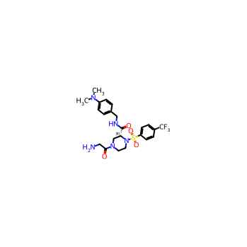 CN(C)c1ccc(CNC(=O)[C@H]2CN(C(=O)CN)CCN2S(=O)(=O)c2ccc(C(F)(F)F)cc2)cc1